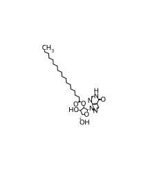 CCCCCCCCCCCCCCCCCC(=O)O[C@@H]1[C@H](O)[C@@H](CO)O[C@H]1n1ncc2c(=O)[nH]cnc21